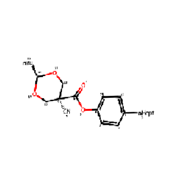 CCCCCCCc1ccc(OC(=O)[C@]2(C#N)CO[C@H](CCCC)OC2)cc1